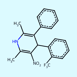 CC1=C(c2ccccc2)C(c2ccccc2C(F)(F)F)C([N+](=O)[O-])=C(C)N1